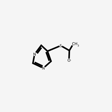 CC([O])Sc1cncnc1